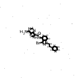 Nc1ncnc2c(C(=O)Nc3cccc4c3c(Br)nn4CCc3ccccc3)csc12